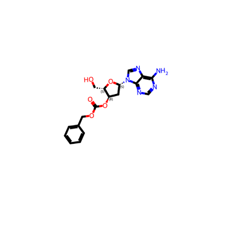 Nc1ncnc2c1ncn2[C@@H]1C[C@@H](OC(=O)OCc2ccccc2)[C@H](CO)O1